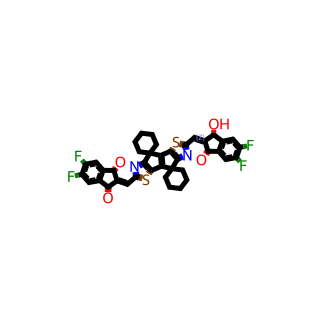 O=C1C(=Cc2nc3c(s2)C2=C(c4sc(/C=C5\C(=O)c6cc(F)c(F)cc6C5O)nc4C24CCCCC4)C32CCCCC2)C(=O)c2cc(F)c(F)cc21